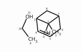 CC1(C)C2C=CCC1C2.CCO